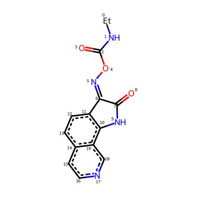 CCNC(=O)ON=C1C(=O)Nc2c1ccc1ccncc21